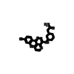 NC(=O)CN1CCCC(Nc2nnc(-c3ccc(Cl)cc3O)c3cccnc23)C1